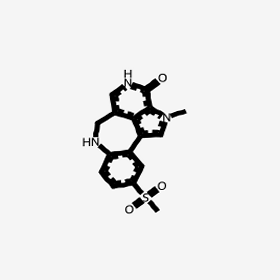 Cn1cc2c3c(c[nH]c(=O)c31)CNc1ccc(S(C)(=O)=O)cc1-2